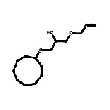 C=CCOCC(O)COC1CCCCCCCC1